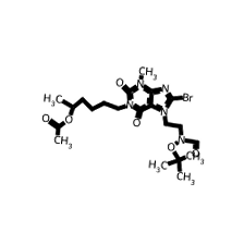 CC(=O)OC(C)CCCCn1c(=O)c2c(nc(Br)n2CCN(C=O)OC(C)(C)C)n(C)c1=O